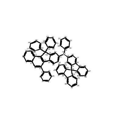 c1ccc(-c2cc3ccccc3c3c2-c2ccc(N(c4ccccc4)c4ccc5c(c4)C4(c6ccccc6-c6ccccc64)c4ccccc4-5)cc2C3(c2ccccc2)c2ccccc2)cc1